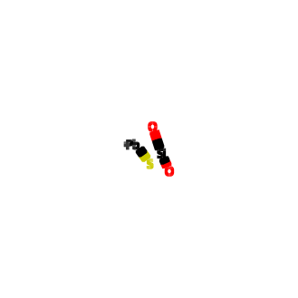 O=[Si]=O.[S]=[Pb]